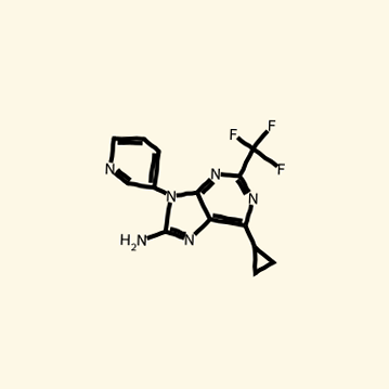 Nc1nc2c(C3CC3)nc(C(F)(F)F)nc2n1-c1cccnc1